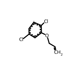 C=CCOc1cc(Cl)c[c]c1Cl